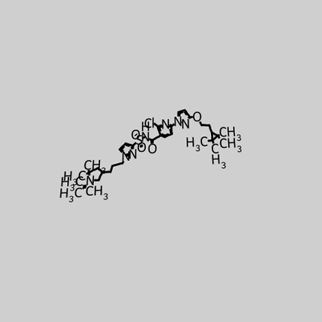 CC(C)(C)N1CC(CCCn2ccc(S(=O)(=O)NC(=O)c3ccc(-n4ccc(OCCC5C(C)(C)C5(C)C)n4)nc3Cl)n2)CC1(C)C